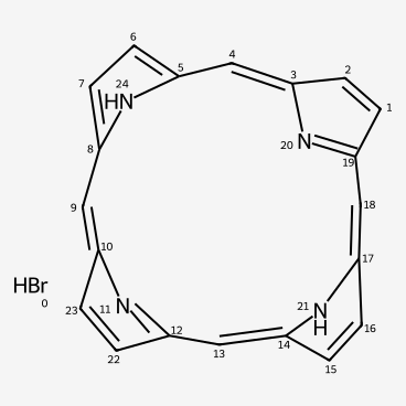 Br.C1=Cc2cc3ccc(cc4nc(cc5ccc(cc1n2)[nH]5)C=C4)[nH]3